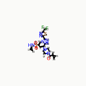 C[C@@H]1CN(c2cc(S(=O)(=O)NC3CC3)cn3c(-c4nnc(C(F)F)s4)nnc23)CCN1C(=O)C1(C)CC1